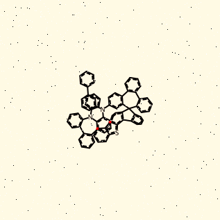 c1ccc(-c2cccc(N(c3ccc4c(c3)C3(c5ccccc5-c5ccccc5-4)c4ccccc4-c4c3ccc3c4sc4ccccc43)c3cccc4c3N(c3ccccc3)c3ccccc3-c3ccccc3-4)c2)cc1